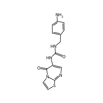 Nc1ccc(CNC(=O)Nc2cnc3sccn3c2=O)cc1